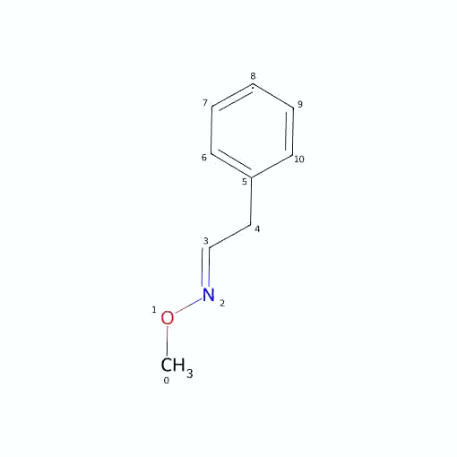 CON=CCc1cc[c]cc1